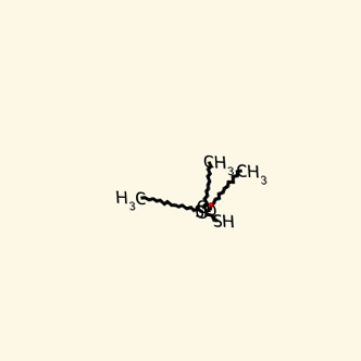 CCCCCCCCCCCCCCCCO[Si](CCCS)(OCCCCCCCCCCCC)OCCCCCCCCCCCCCC